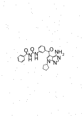 Nc1ncnc2c1c(C(=O)c1cccc(NC(=O)NC(=O)c3ccccc3)c1)cn2C1CCCC1